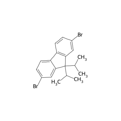 CC(C)C1(C(C)C)c2cc(Br)ccc2-c2ccc(Br)cc21